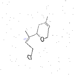 CC1=CCOC(/C(C)=C\CCl)C1